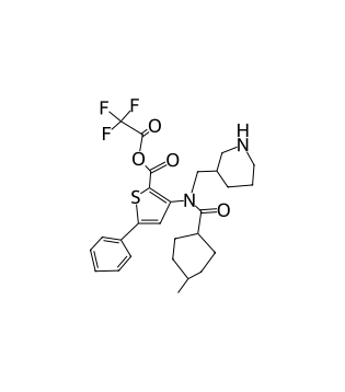 CC1CCC(C(=O)N(CC2CCCNC2)c2cc(-c3ccccc3)sc2C(=O)OC(=O)C(F)(F)F)CC1